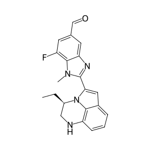 CC[C@@H]1CNc2cccc3cc(-c4nc5cc(C=O)cc(F)c5n4C)n1c23